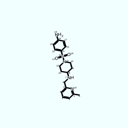 Cc1cccc(CNC2CCN(S(=O)(=O)c3ccc(N)cc3)CC2)n1